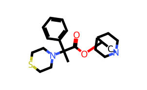 CC(C(=O)OC1CN2CCC1CC2)(c1ccccc1)N1CCSCC1